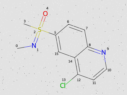 CN=S(C)(=O)c1ccc2nccc(Cl)c2c1